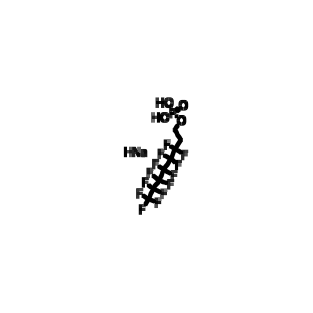 O=P(O)(O)OCCC(F)(F)C(F)(F)C(F)(F)C(F)(F)C(F)(F)C(F)(F)F.[NaH]